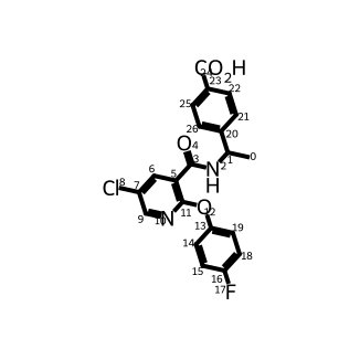 CC(NC(=O)c1cc(Cl)cnc1Oc1ccc(F)cc1)c1ccc(C(=O)O)cc1